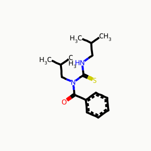 CC(C)CNC(=S)N(CC(C)C)C(=O)c1ccccc1